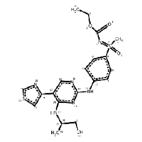 CCOC(=O)N=S(C)(=O)c1ccc(Nc2ncc(-c3cscn3)c(N[C@H](C)CO)n2)cc1